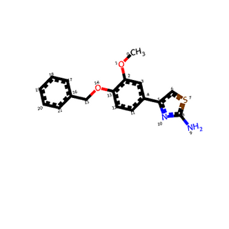 COc1cc(-c2csc(N)n2)ccc1OCc1ccccc1